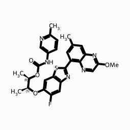 COc1cnc2c(-c3nc4cc(F)c(O[C@@H](C)[C@@H](C)OC(=O)Nc5ccc(C)nc5)cc4s3)cc(C)cc2n1